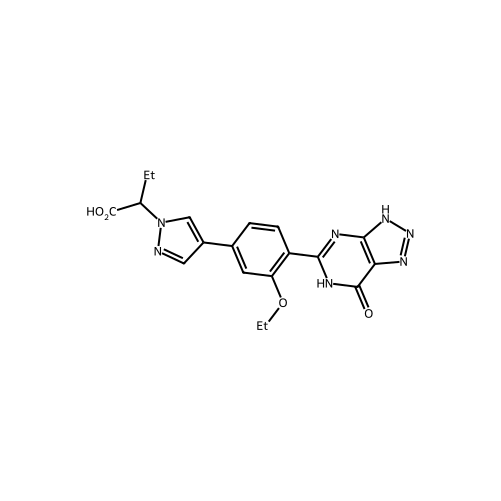 CCOc1cc(-c2cnn(C(CC)C(=O)O)c2)ccc1-c1nc2[nH]nnc2c(=O)[nH]1